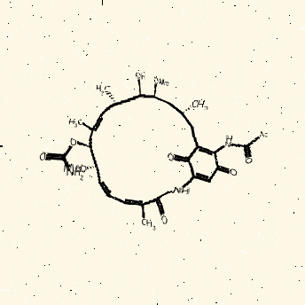 CO[C@H]1C=CC=C(C)C(=O)NC2=CC(=O)C(NC(=O)C(C)=O)=C(C[C@@H](C)C[C@H](OC)[C@H](O)[C@@H](C)C=C(C)[C@@H]1OC(N)=O)C2=O